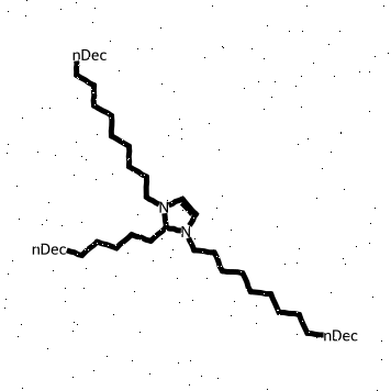 CCCCCCCCCCCCCCCCCCCN1C=CN(CCCCCCCCCCCCCCCCCCC)C1CCCCCCCCCCCCCCC